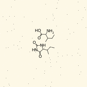 CCC(C)C(N)C(=O)O.CCC(C)C1NC(=O)NC1=O